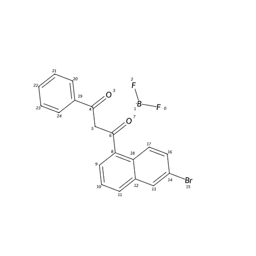 F[B]F.O=C(CC(=O)c1cccc2cc(Br)ccc12)c1ccccc1